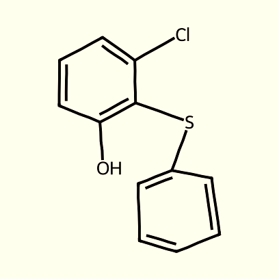 Oc1cccc(Cl)c1Sc1ccccc1